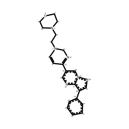 C1=CN(CCN2CCOCC2)CN=C1c1cnc2c(-c3ccccc3)cnn2c1